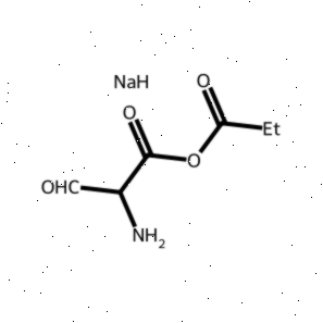 CCC(=O)OC(=O)C(N)C=O.[NaH]